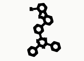 Brc1cccc2c1sc1c(-c3cccc(-c4nc(-c5ccccc5)nc(-c5ccccc5)n4)c3)cccc12